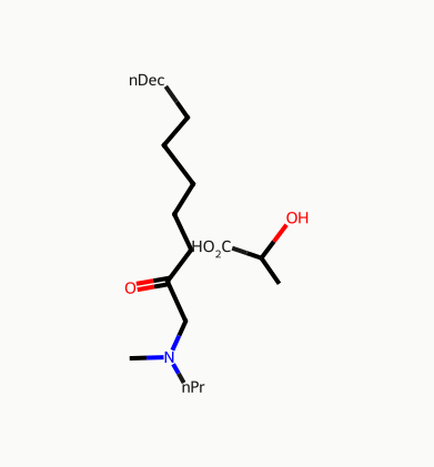 CC(O)C(=O)O.CCCCCCCCCCCCCCCC(=O)CN(C)CCC